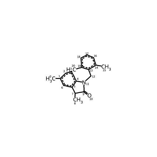 Cc1ccc2c(c1)C(C)C(=O)N2Cc1c(C)cccc1C